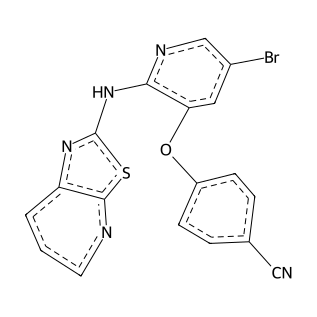 N#Cc1ccc(Oc2cc(Br)cnc2Nc2nc3cccnc3s2)cc1